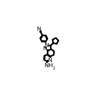 N#Cc1ccc(N2N=C3c4ccc(N)nc4CCC3C2C2CCCC2)cc1